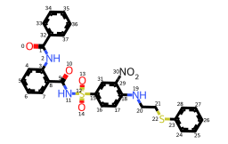 O=C(Nc1ccccc1C(=O)NS(=O)(=O)c1ccc(NCCSc2ccccc2)c([N+](=O)[O-])c1)c1ccccc1